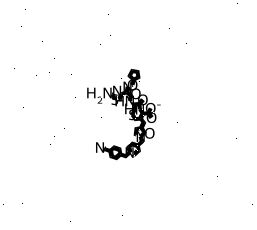 N#Cc1ccc(C[n+]2ccc(CN3CC/C(=C\C4=C(C(=O)[O-])N5C(=O)[C@@H](NC(=O)/C(=N\OC6CCCC6)c6csc(N)n6)[C@H]5SC4)C3=O)cc2)cc1